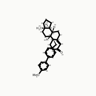 COc1ccc(-c2ccc(C[C@]34CCC(=O)C=C3CC[C@@H]3[C@H]4CC[C@]4(C)CCC[C@@H]34)cc2)cc1